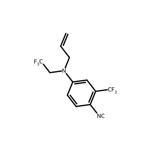 [C-]#[N+]c1ccc(N(CC=C)CC(F)(F)F)cc1C(F)(F)F